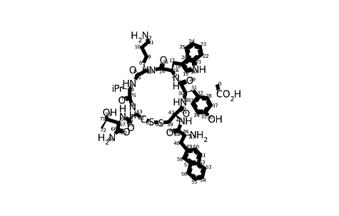 CC(=O)O.CC(C)[C@@H]1NC(=O)[C@H](CCCCN)NC(=O)[C@@H](Cc2c[nH]c3ccccc23)NC(=O)[C@H](Cc2ccc(O)cc2)NC(=O)[C@@H](NC(=O)[C@H](N)Cc2ccc3ccccc3c2)CSSC[C@@H](C(=O)N[C@H](C(N)=O)[C@@H](C)O)NC1=O